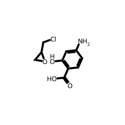 ClCC1CO1.Nc1ccc(C(=O)O)c(O)c1